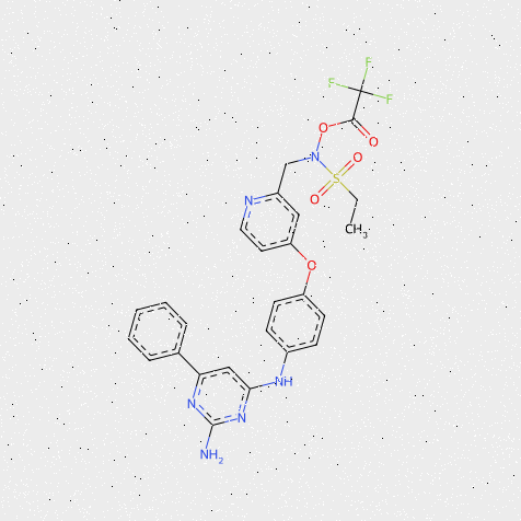 CCS(=O)(=O)N(Cc1cc(Oc2ccc(Nc3cc(-c4ccccc4)nc(N)n3)cc2)ccn1)OC(=O)C(F)(F)F